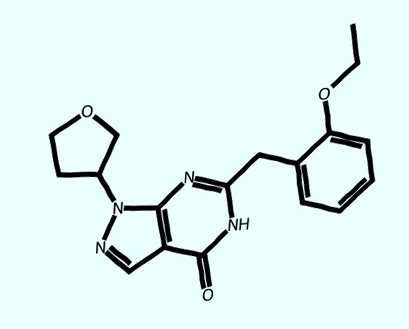 CCOc1ccccc1Cc1nc2c(cnn2C2CCOC2)c(=O)[nH]1